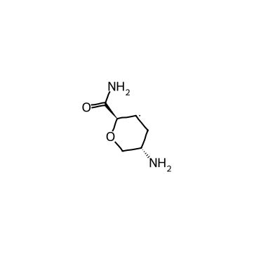 NC(=O)[C@H]1[CH]C[C@H](N)CO1